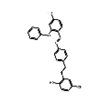 Oc1ccc(O)c(CCc2ccc(N=Nc3ccc(O)cc3Nc3ccccc3)cc2)c1